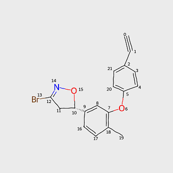 C#Cc1ccc(Oc2cc([C@@H]3CC(Br)=NO3)ccc2C)cc1